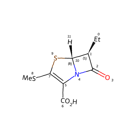 CC[C@H]1C(=O)N2C(C(=O)O)=C(SC)S[C@H]12